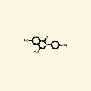 Bc1cn(-c2ccc(O)cc2)c(=O)c2ccc(O)cc12